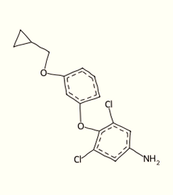 Nc1cc(Cl)c(Oc2cccc(OCC3CC3)c2)c(Cl)c1